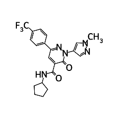 Cn1cc(-n2nc(-c3ccc(C(F)(F)F)cc3)cc(C(=O)NC3CCCC3)c2=O)cn1